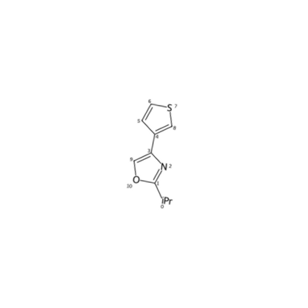 CC(C)c1nc(-c2ccsc2)co1